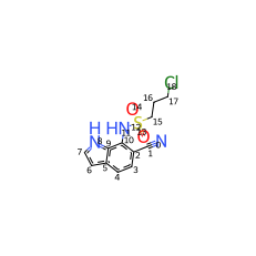 N#Cc1ccc2cc[nH]c2c1NS(=O)(=O)CCCCl